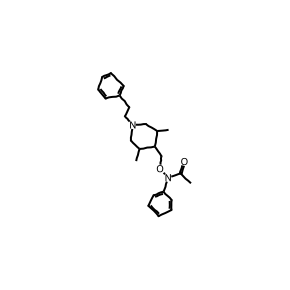 CC(=O)N(OCC1C(C)CN(CCc2ccccc2)CC1C)c1ccccc1